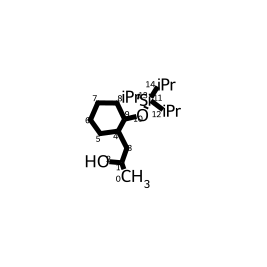 CC(O)CC1CCCCC1O[Si](C(C)C)(C(C)C)C(C)C